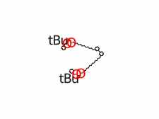 CC(C)(C)CC(COCCCCCCCCCCCCCc1cccc(-c2cccc(CCCCCCCCCCCCOCC(CC(C)(C)C)OCc3ccccc3)c2)c1)OCc1ccccc1